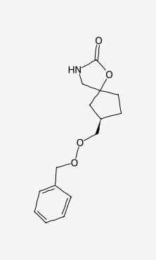 O=C1NCC2(CC[C@@H](COOCc3ccccc3)C2)O1